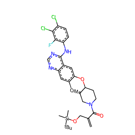 C=C(CO[Si](C)(C)C(C)(C)C)C(=O)N1CCC(Oc2cc3c(Nc4ccc(Cl)c(Cl)c4F)ncnc3cc2OC)CC1